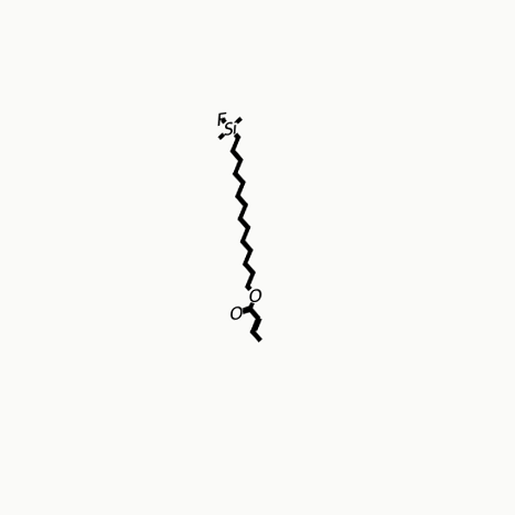 CC=CC(=O)OCCCCCCCCCCCCCC[Si](C)(C)F